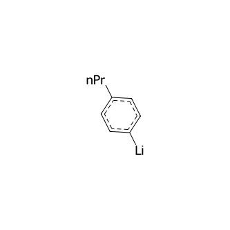 [Li][c]1ccc(CCC)cc1